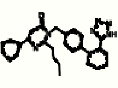 CCCCc1nc(-c2ccccc2)cc(=O)n1Cc1ccc(-c2ccccc2-c2nnn[nH]2)cc1